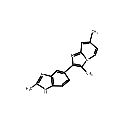 Cc1ccn2c(C)c(-c3ccc4[nH]c(C)nc4c3)nc2c1